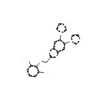 COc1cccc(OC)c1SCc1nc2cc(-n3ccnc3)c(-n3ccnc3)cc2[nH]1